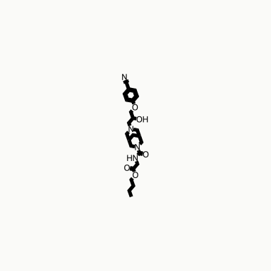 CCCCOC(=O)CNC(=O)N1CC2CC(CN(CC(O)COc3ccc(C#N)cc3)C2)C1